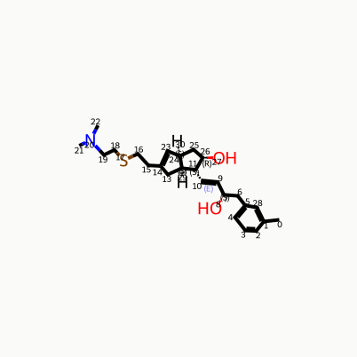 Cc1cccc(C[C@H](O)/C=C/[C@@H]2[C@H]3CC(CCSCCN(C)C)=C[C@H]3C[C@H]2O)c1